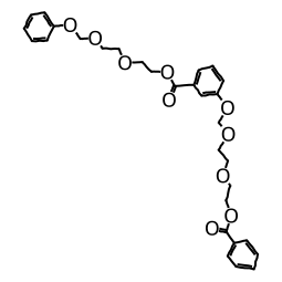 O=C(OCCOCCOCOc1cccc(C(=O)OCCOCCOCOc2ccccc2)c1)c1ccccc1